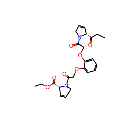 CCOC(=O)[C@H]1C=CCN1C(=O)COc1ccccc1OCC(=O)N1CC=C[C@@H]1C(=O)CC